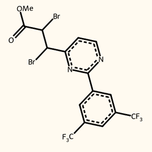 COC(=O)C(Br)C(Br)c1ccnc(-c2cc(C(F)(F)F)cc(C(F)(F)F)c2)n1